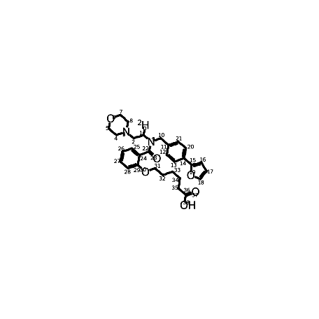 [2H]C(CN1CCOCC1)N(Cc1ccc(-c2ccco2)cc1)C(=O)c1ccccc1OCCCCCC(=O)O